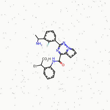 CCC(C(=O)O)c1ccccc1NC(=O)c1nc(-c2cccc(C(C)N)c2F)nn2cccc12